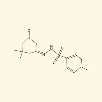 Cc1ccc(S(=O)(=O)N/N=C2\CC(=O)CC(C)(C)C2)cc1